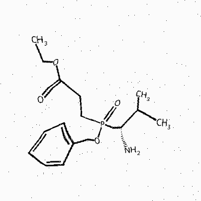 CCOC(=O)CCP(=O)(Oc1ccccc1)[C@@H](N)C(C)C